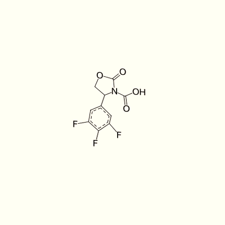 O=C(O)N1C(=O)OCC1c1cc(F)c(F)c(F)c1